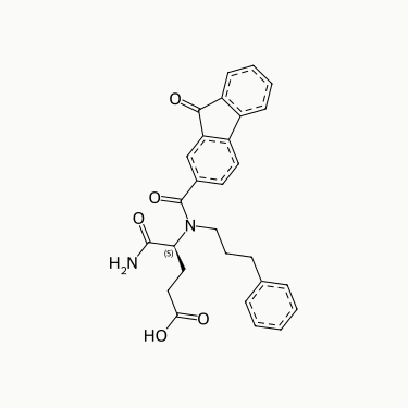 NC(=O)[C@H](CCC(=O)O)N(CCCc1ccccc1)C(=O)c1ccc2c(c1)C(=O)c1ccccc1-2